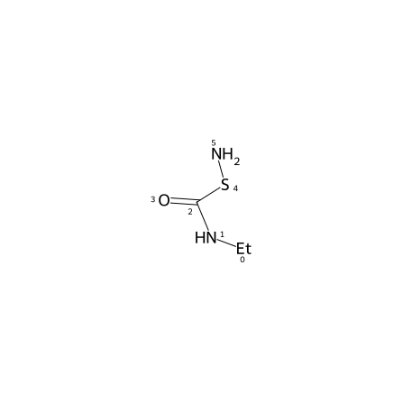 CCNC(=O)SN